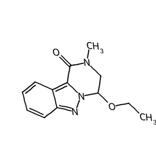 CCOC1CN(C)C(=O)c2c3ccccc3nn21